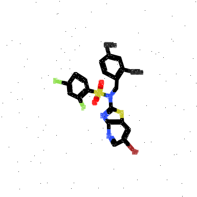 COc1ccc(CN(c2nc3ncc(Br)cc3s2)S(=O)(=O)c2ccc(F)cc2F)c(OC)c1